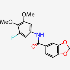 COc1cc(NC(=O)c2ccc3c(c2)OCO3)cc(F)c1OC